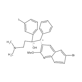 COc1nc2ccc(Br)cc2cc1[C@@H](c1ccccc1)[C@@](O)(CCN(C)C)c1cccc(I)c1